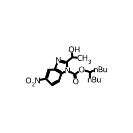 CCCCC(CCCC)OC(=O)n1c(C(C)O)nc2cc([N+](=O)[O-])ccc21